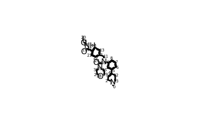 CN1CC=C(c2cccc(N(Cc3ccc(C(=O)NOI)cc3)C(=O)N3CCOCC3)c2)CC1